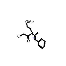 COCCN(C(=O)CCl)/C(C)=C/c1ccccc1